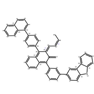 C=c1c(-c2cccc(-c3ccc4sc5ccccc5c4c3)c2)c2ccccc2c(-c2ccc(-c3cccc4ccccc34)cc2)/c1=C/C=C\C